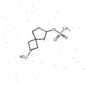 CS(=O)(=O)OC1CCC2(C1)CN(C(=O)O)C2